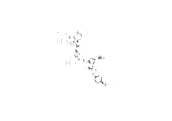 CC(=O)OC(C)C1CNCCN1NC(=O)CNC(=O)C(C)SC[C@@H]1C[C@H](SC(C)=O)CN1C(=O)OCc1ccc([N+](=O)[O-])cc1